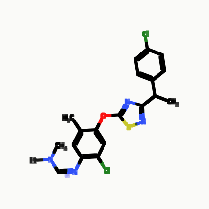 CCN(C)/C=N\c1cc(C)c(Oc2nc(C(C)c3ccc(Cl)cc3)ns2)cc1Cl